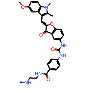 CNCCNC(=O)c1ccc(NC(=O)Nc2ccc3c(c2)C(=O)/C(=C/c2c(C)n(C)c4ccc(OC)cc24)O3)cc1